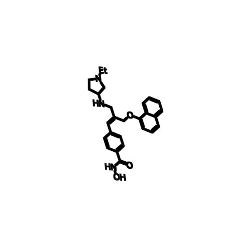 CCN1CCC(NC/C(=C/c2ccc(C(=O)NO)cc2)COc2cccc3ccccc23)C1